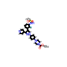 CCCS(=O)(=O)Nc1cccc(-c2cn(-c3ccc(N4CCN(C(=O)OC(C)(C)C)CC4)cc3)nc2-c2ccncc2)c1F